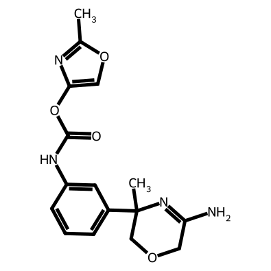 Cc1nc(OC(=O)Nc2cccc(C3(C)COCC(N)=N3)c2)co1